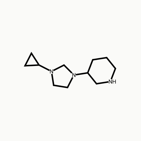 C1CNCC(N2CCN(C3CC3)C2)C1